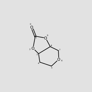 O=C1OC2CCOCC2O1